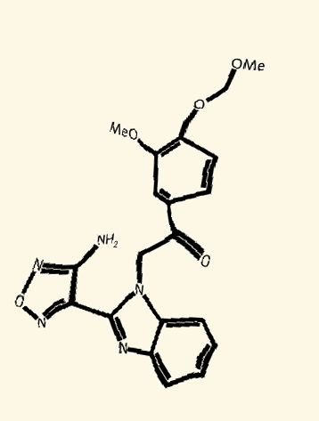 COCOc1ccc(C(=O)Cn2c(-c3nonc3N)nc3ccccc32)cc1OC